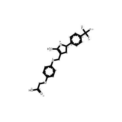 CC1=C(COc2ccc(OCC(=O)O)cc2)CC(c2ccc(C(F)(F)F)cc2)O1